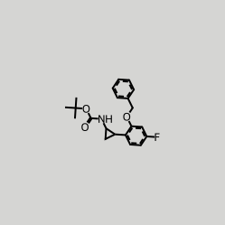 CC(C)(C)OC(=O)NC1CC1c1ccc(F)cc1OCc1ccccc1